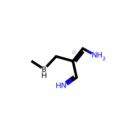 CBC/C(C=N)=C/N